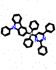 c1ccc(-c2cc([Si](c3ccccc3)(c3ccccc3)c3ccc4c(c3)c3ccccc3n4-c3ccccc3)nc(-c3ccccc3)n2)cc1